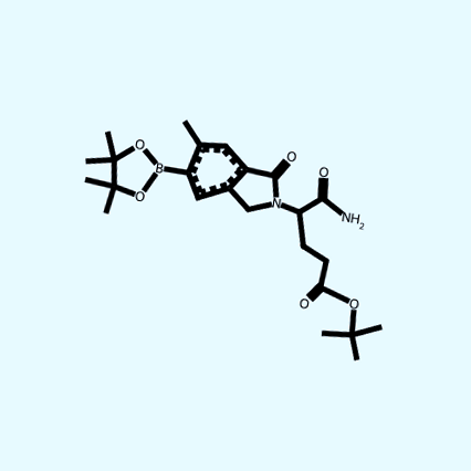 Cc1cc2c(cc1B1OC(C)(C)C(C)(C)O1)CN(C(CCC(=O)OC(C)(C)C)C(N)=O)C2=O